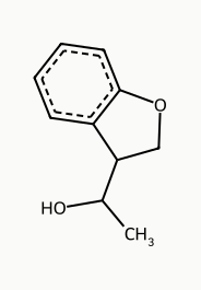 CC(O)C1COc2ccccc21